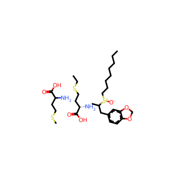 CCCCCCCC[S+]([O-])C(C)Cc1ccc2c(c1)OCO2.CCSCC[C@H](N)C(=O)O.CSCCC(N)C(=O)O